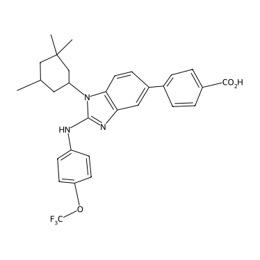 CC1CC(n2c(Nc3ccc(OC(F)(F)F)cc3)nc3cc(-c4ccc(C(=O)O)cc4)ccc32)CC(C)(C)C1